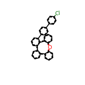 Clc1ccc(-c2ccc(-c3cccc4c5ccccc5c5ccccc5oc5ccccc5c34)cc2)cc1